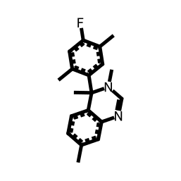 Cc1ccc2c(c1)N=CN(C)C2(C)c1cc(C)c(F)cc1C